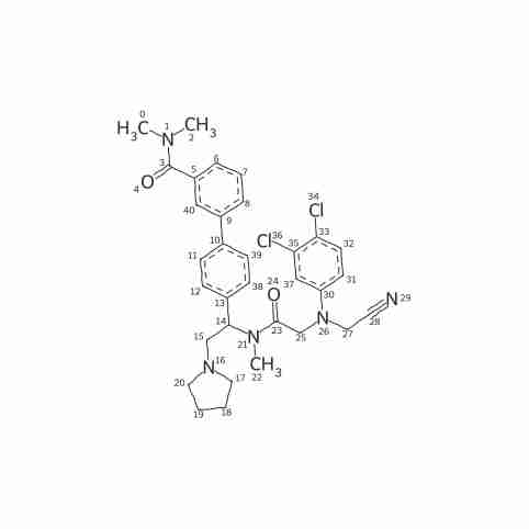 CN(C)C(=O)c1cccc(-c2ccc(C(CN3CCCC3)N(C)C(=O)CN(CC#N)c3ccc(Cl)c(Cl)c3)cc2)c1